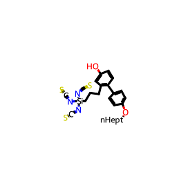 CCCCCCCOc1ccc(-c2ccc(O)cc2CCC[Si](N=C=S)(N=C=S)N=C=S)cc1